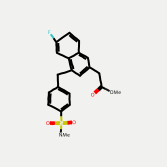 CNS(=O)(=O)c1ccc(Cc2cc(CC(=O)OC)cc3ccc(F)cc23)cc1